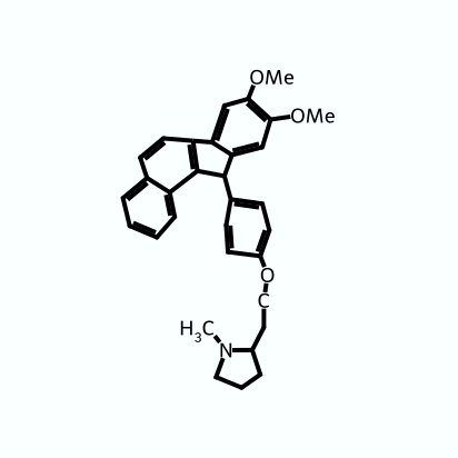 COc1cc2c(cc1OC)C(c1ccc(OCCC3CCCN3C)cc1)c1c-2ccc2ccccc12